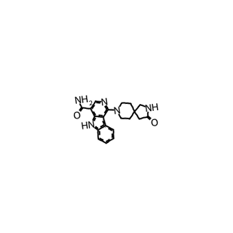 NC(=O)c1cnc(N2CCC3(CC2)CNC(=O)C3)c2c1[nH]c1ccccc12